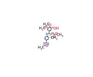 COC(=O)N=C(SC)C(=Nc1ccc(-c2noc(C)n2)cc1)c1cc(CO)c(OC)c(OC)c1